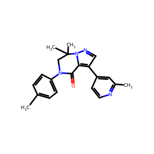 Cc1ccc(N2CC(C)(C)n3ncc(-c4ccnc(C)c4)c3C2=O)cc1